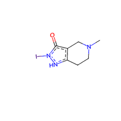 CN1CCc2[nH]n(I)c(=O)c2C1